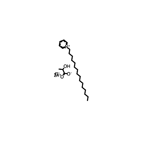 CC(O)C(=O)[O-].CCCCCCCCCCCCCCCC[n+]1ccccc1.[Cl-].[Zn+]